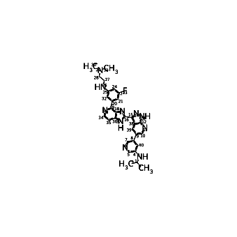 CC(C)Nc1cncc(-c2cnc3[nH]nc(-c4nc5c(-c6cc(F)cc(NCCN(C)C)c6)nccc5[nH]4)c3c2)c1